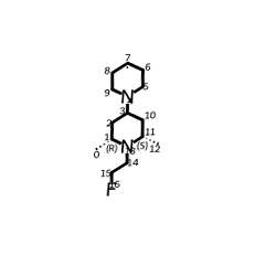 C[C@@H]1CC(N2CC[CH]CC2)C[C@H](C)N1CCF